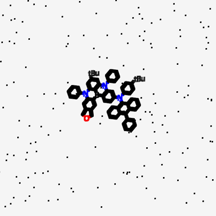 CC(C)(C)c1ccc(N(c2ccc3c(c2)N(c2ccccc2)c2cc(C(C)(C)C)cc4c2B3c2cc3cocc3cc2N4c2ccccc2)c2c3ccccc3c(-c3ccccc3)c3ccccc23)cc1